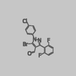 O=Cc1c(-c2c(F)cccc2F)nn(-c2ccc(Cl)cc2)c1Br